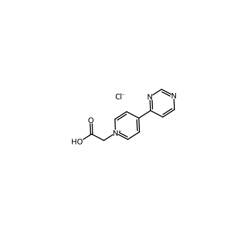 O=C(O)C[n+]1ccc(-c2ccncn2)cc1.[Cl-]